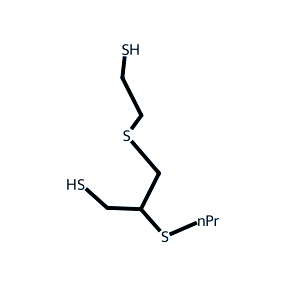 CCCSC(CS)CSCCS